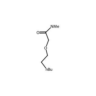 CCCCCCOCC(=O)NC